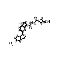 Cc1ccc2c(-c3cnc4[nH]cc(C(=O)NCC(=O)N5CC(C#N)C5)c4n3)ncn2c1